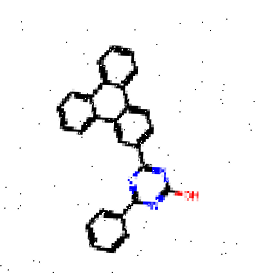 Oc1nc(-c2ccccc2)nc(-c2ccc3c4ccccc4c4ccccc4c3c2)n1